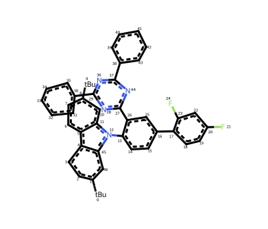 CC(C)(C)c1ccc2c3ccc(C(C)(C)C)cc3n(-c3ccc(-c4ccc(F)cc4F)cc3-c3nc(-c4ccccc4)nc(-c4ccccc4)n3)c2c1